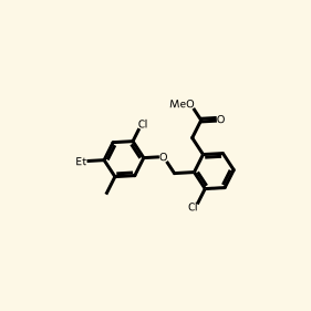 CCc1cc(Cl)c(OCc2c(Cl)cccc2CC(=O)OC)cc1C